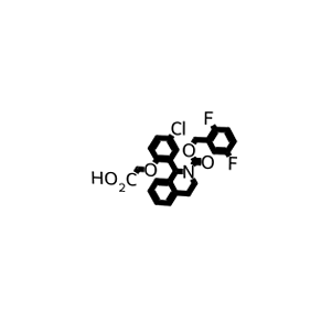 O=C(O)COc1ccc(Cl)cc1C1c2ccccc2CCN1C(=O)OCc1cc(F)ccc1F